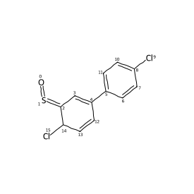 O=S=C1C=C(c2ccc(Cl)cc2)C=CC1Cl